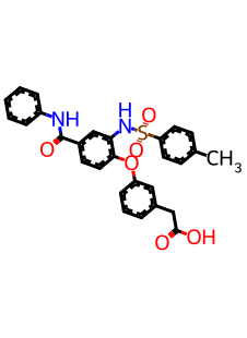 Cc1ccc(S(=O)(=O)Nc2cc(C(=O)Nc3ccccc3)ccc2Oc2cccc(CC(=O)O)c2)cc1